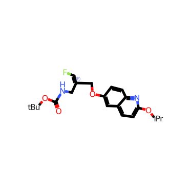 CC(C)Oc1ccc2cc(OC/C(=C/F)CNC(=O)OC(C)(C)C)ccc2n1